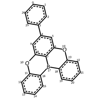 c1ccc(-c2cc3c4c(c2)Oc2ccccc2B4c2ccccc2O3)cc1